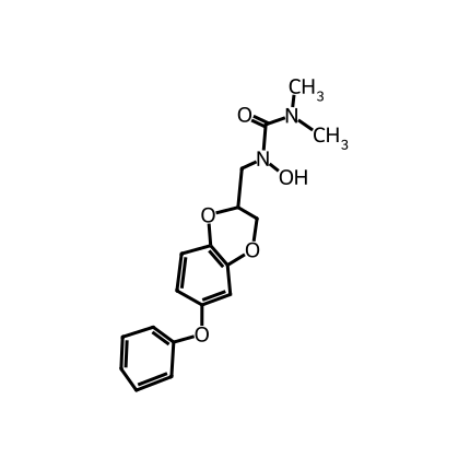 CN(C)C(=O)N(O)CC1COc2cc(Oc3ccccc3)ccc2O1